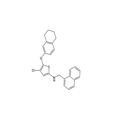 Clc1cc(NCc2cccc3ccccc23)sc1Oc1ccc2c(c1)CCCC2